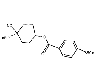 CCCC[C@]1(C#N)CC[C@H](OC(=O)c2ccc(OC)cc2)CC1